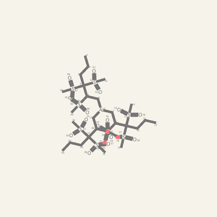 CCCC(C([CH2][Al]([CH2]C(C(CCC)(S(C)(=O)=O)S(C)(=O)=O)S(C)(=O)=O)[CH2]C(C(CCC)(S(C)(=O)=O)S(C)(=O)=O)S(C)(=O)=O)S(C)(=O)=O)(S(C)(=O)=O)S(C)(=O)=O